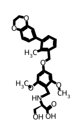 COc1cc(OCc2cccc(-c3ccc4c(c3)OCCO4)c2C)cc(OC)c1CN[C@H](CO)C(=O)O